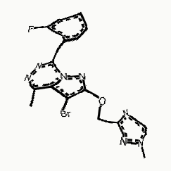 Cc1nnc(-c2ccccc2F)n2nc(OCc3ncn(C)n3)c(Br)c12